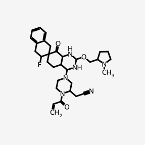 C=CC(=O)N1CCN(C2NC(OCC3CCCN3C)NC3C(=O)C4(CCC32)Cc2ccccc2CC4F)CC1CC#N